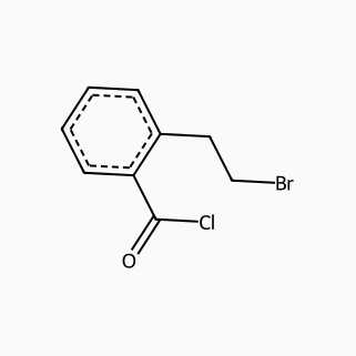 O=C(Cl)c1ccccc1CCBr